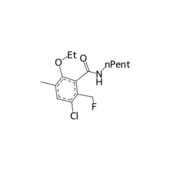 CCCCCNC(=O)c1c(CF)c(Cl)cc(C)c1OCC